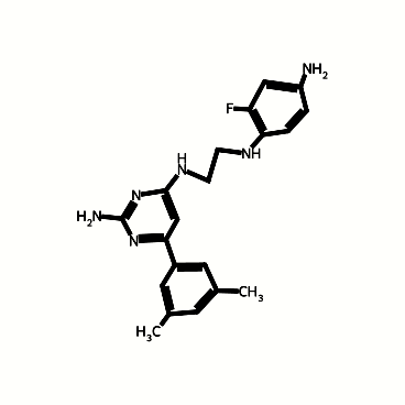 Cc1cc(C)cc(-c2cc(NCCNc3ccc(N)cc3F)nc(N)n2)c1